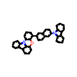 c1cc(-c2ccc3cc(-n4c5ccccc5c5ccccc54)ccc3c2)c2c(c1)-n1c3ccccc3c3cccc(c31)O2